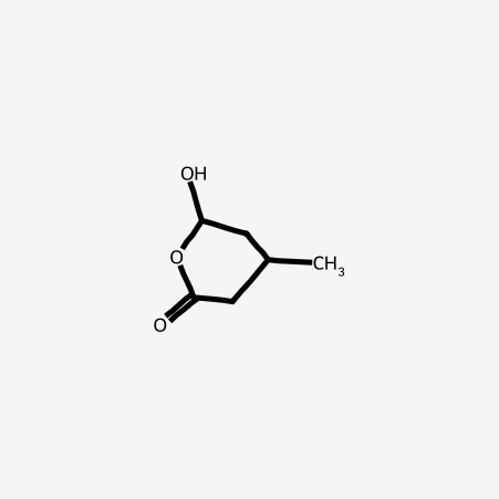 CC1CC(=O)OC(O)C1